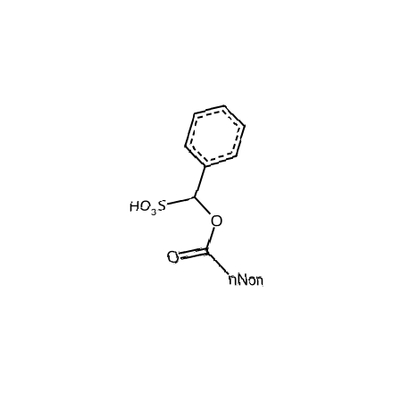 CCCCCCCCCC(=O)OC(c1ccccc1)S(=O)(=O)O